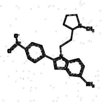 CN1CCCC1CCn1c(-c2ccc([N+](=O)[O-])cc2)cc2cc(N)ccc21